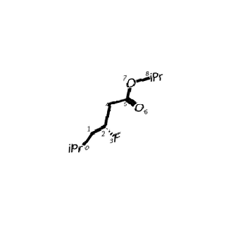 CC(C)C[C@@H](F)CC(=O)OC(C)C